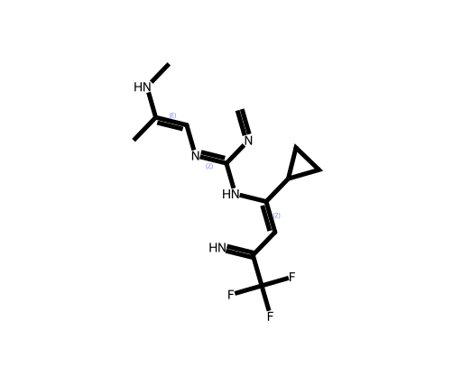 C=N/C(=N\C=C(/C)NC)N/C(=C\C(=N)C(F)(F)F)C1CC1